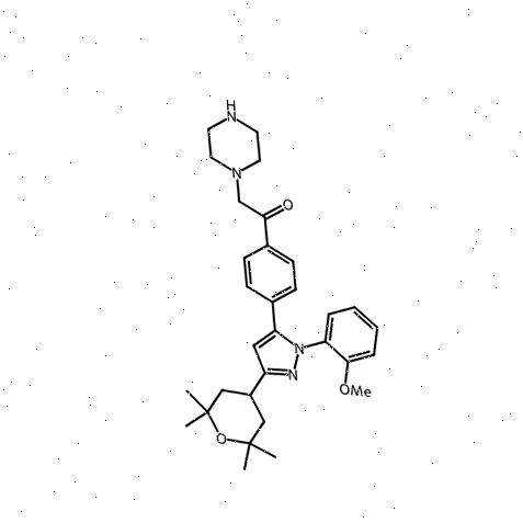 COc1ccccc1-n1nc(C2CC(C)(C)OC(C)(C)C2)cc1-c1ccc(C(=O)CN2CCNCC2)cc1